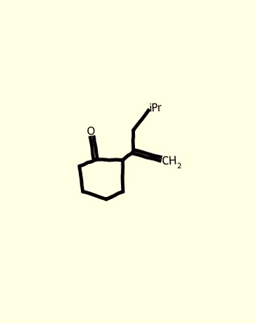 C=C(CC(C)C)C1CCCCC1=O